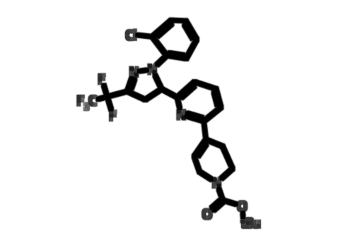 CC(C)(C)OC(=O)N1CC=C(c2cccc(C3CC(C(F)(F)C(F)(F)F)=NN3c3ccccc3Cl)n2)CC1